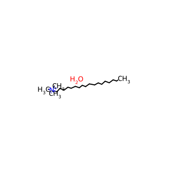 CCCCCCCCCCCCCCCCCC[N+](C)(C)C.O